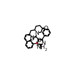 Cc1nc(-c2ccccc2)c(C(=O)N2CC(=O)CCC2Cc2ccc3cccc(C(N)=O)c3n2)s1